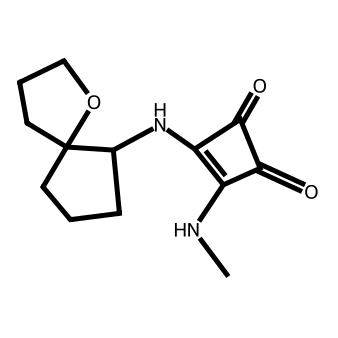 CNc1c(NC2CCCC23CCCO3)c(=O)c1=O